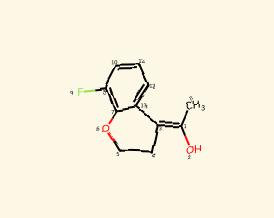 C/C(O)=C1/CCOc2c(F)cccc21